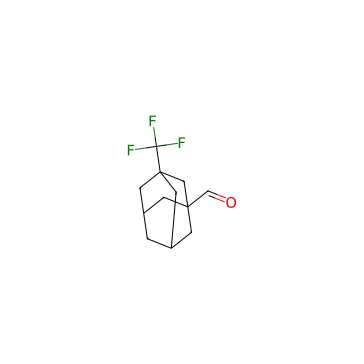 O=CC12CC3CC(C1)CC(C(F)(F)F)(C3)C2